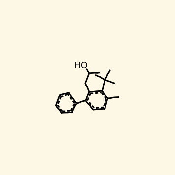 Cc1ccc(-c2ccccc2)c(CC(C)O)c1C(C)(C)C